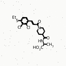 CCSc1ccc(C=CC(=O)N2CCC(C(=O)NC(C)C(=O)O)CC2)c(Cl)c1Cl